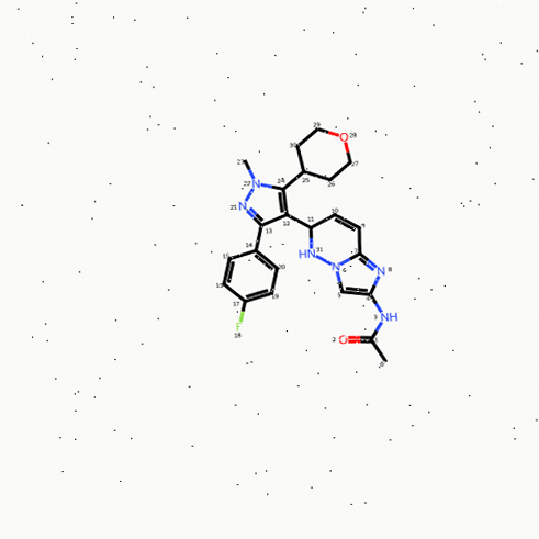 CC(=O)Nc1cn2c(n1)C=CC(c1c(-c3ccc(F)cc3)nn(C)c1C1CCOCC1)N2